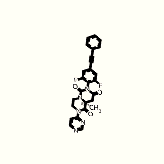 C[C@@]12CC(=O)N(c3c(F)cc(C#Cc4ccccc4)cc3F)C(=O)N1CCN(c1ccncn1)C2=O